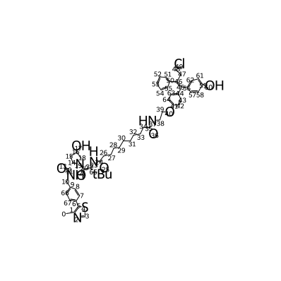 Cc1ncsc1-c1ccc(CNC(=O)[C@@H]2C[C@@H](O)CN2C(=O)[C@@H](NC(=O)CCCCCCCCCC(=O)NCCOc2ccc(C(=C(CCCl)c3ccccc3)c3ccc(O)cc3)cc2)C(C)(C)C)cc1